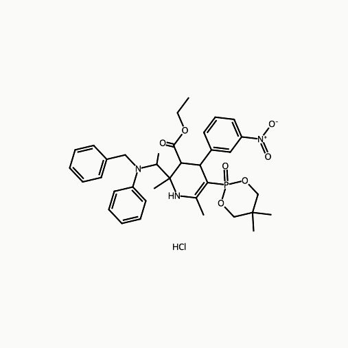 CCOC(=O)C1C(c2cccc([N+](=O)[O-])c2)C(P2(=O)OCC(C)(C)CO2)=C(C)NC1(C)C(C)N(Cc1ccccc1)c1ccccc1.Cl